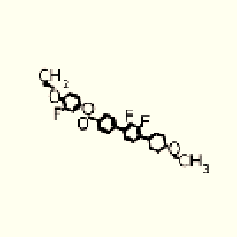 C=CCOc1ccc(OC(=O)c2ccc(-c3ccc(C4CCC(OCC)CC4)c(F)c3F)cc2)cc1F